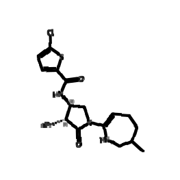 CCC[C@H]1C(=O)N(C2=CCCC(C)CN2)C[C@@H]1NC(=O)c1ccc(Cl)s1